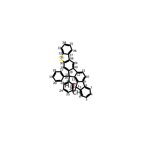 CC1(C)c2ccccc2-c2ccc3c(c21)C(c1ccccc1)(c1ccccc1)c1cc2sc4ccccc4c2cc1-3